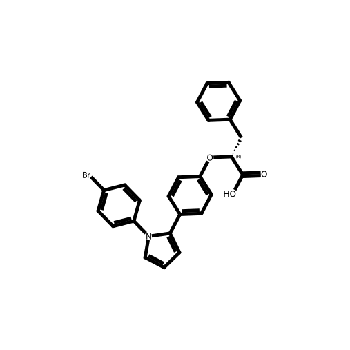 O=C(O)[C@@H](Cc1ccccc1)Oc1ccc(-c2cccn2-c2ccc(Br)cc2)cc1